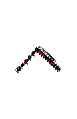 Cc1cc[n+](C(C)C)cc1.Cc1cc[n+](C(C)C)cc1.Cc1cc[n+](C(C)C)cc1.Cc1cc[n+](C(C)C)cc1.Cc1cc[n+](C(C)C)cc1.Cc1cc[n+](C(C)C)cc1.Cc1cc[n+](C(C)C)cc1.Cc1cc[n+](C(C)C)cc1.Cc1cc[n+](C(C)C)cc1.Cc1cc[n+](C(C)C)cc1.Cc1cc[n+](C(C)C)cc1.Cc1cc[n+](C(C)C)cc1.O=P([O-])([O-])F.O=P([O-])([O-])F.O=P([O-])([O-])F.O=P([O-])([O-])F.O=P([O-])([O-])F.O=P([O-])([O-])F